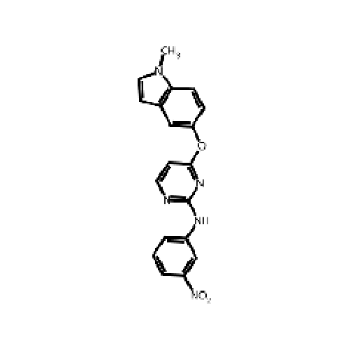 Cn1ccc2cc(Oc3ccnc(Nc4cccc([N+](=O)[O-])c4)n3)ccc21